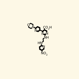 O=C(O)c1cnc(NCCNc2ccc([N+](=O)[O-])cn2)nc1-c1ccc(N2CCOCC2)nc1